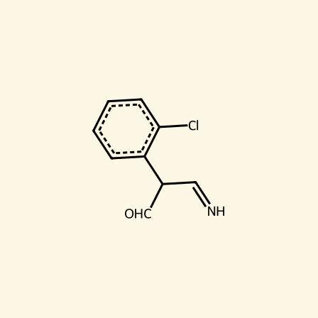 N=CC(C=O)c1ccccc1Cl